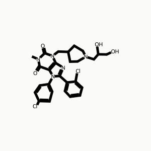 Cn1c(=O)c2c(nc(-c3ccccc3Cl)n2-c2ccc(Cl)cc2)n(CC2CCN(CC(O)CO)CC2)c1=O